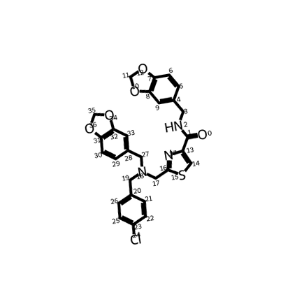 O=C(NCc1ccc2c(c1)OCO2)c1csc(CN(Cc2ccc(Cl)cc2)Cc2ccc3c(c2)OCO3)n1